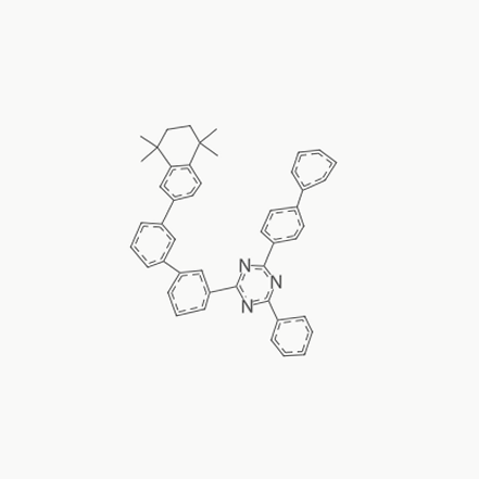 CC1(C)CCC(C)(C)c2cc(-c3cccc(-c4cccc(-c5nc(-c6ccccc6)nc(-c6ccc(-c7ccccc7)cc6)n5)c4)c3)ccc21